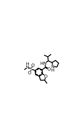 CNS(=O)(=O)c1cc2c(c(C(=O)NC(C(C)C)C3CCCN3)c1)OC(C)C2